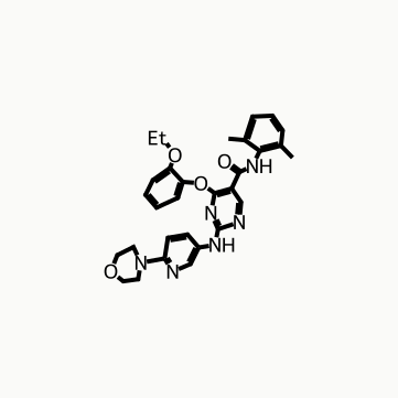 CCOc1ccccc1Oc1nc(Nc2ccc(N3CCOCC3)nc2)ncc1C(=O)Nc1c(C)cccc1C